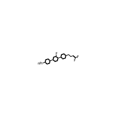 CCCc1ccc(-c2ccc(-c3ccc(CCC=C(F)F)cc3)c(F)c2)cc1